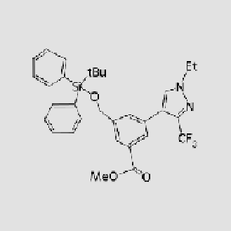 CCn1cc(-c2cc(CO[Si](c3ccccc3)(c3ccccc3)C(C)(C)C)cc(C(=O)OC)c2)c(C(F)(F)F)n1